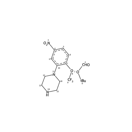 CC(C)(C)OC=O.O=[N+]([O-])c1ccc(OC(F)(F)F)c(N2CCNCC2)c1